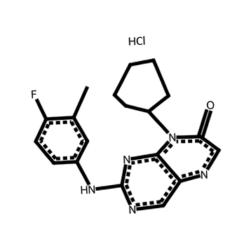 Cc1cc(Nc2ncc3ncc(=O)n(C4CCCCC4)c3n2)ccc1F.Cl